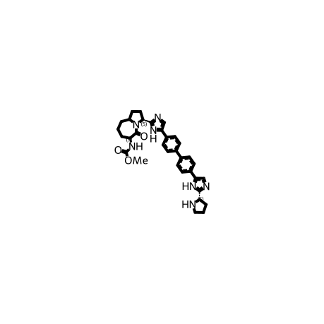 COC(=O)N[C@H]1CCCC2CC[C@@H](c3ncc(-c4ccc(-c5ccc(-c6cnc([C@@H]7CCCN7)[nH]6)cc5)cc4)[nH]3)N2C1=O